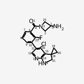 NC1CN(C(=O)c2cccc(-c3cnc4c(c3Cl)C3(CC3)CN4)c2F)C1